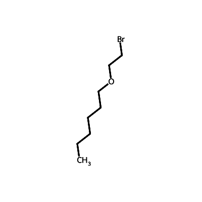 CCCCCCOCCBr